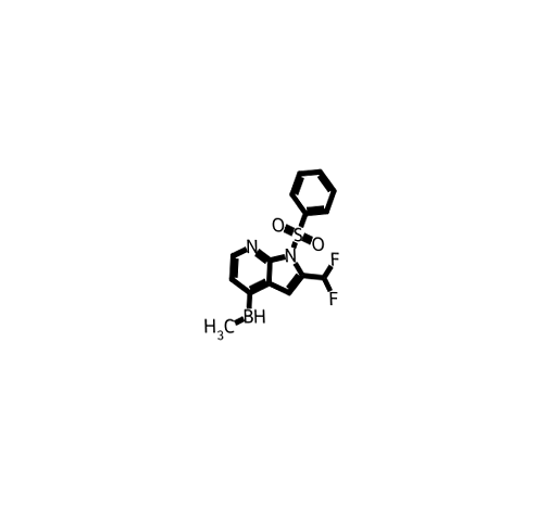 CBc1ccnc2c1cc(C(F)F)n2S(=O)(=O)c1ccccc1